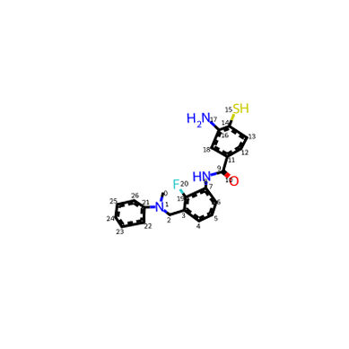 CN(Cc1cccc(NC(=O)c2ccc(S)c(N)c2)c1F)c1ccccc1